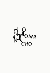 COC(=O)c1[nH]cnc1C=O